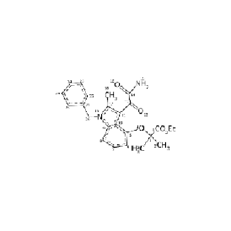 CCOC(=O)C(C)(C)Oc1cccc2c1c(C(=O)C(N)=O)c(C)n2Cc1ccccc1